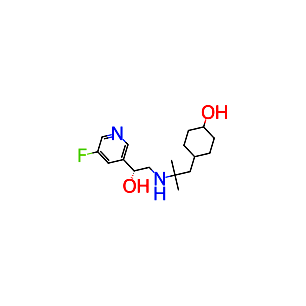 CC(C)(CC1CCC(O)CC1)NC[C@H](O)c1cncc(F)c1